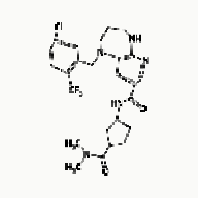 CN(C)C(=O)C1CCC(NC(=O)c2cnc3c(c2)N(Cc2cc(Cl)ccc2C(F)(F)F)CCCN3)C1